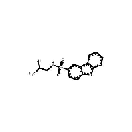 CC(S)CNS(=O)(=O)c1ccc2oc3ccccc3c2c1